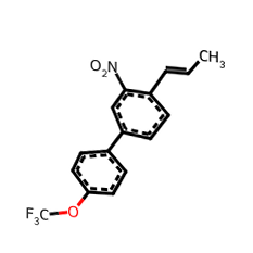 CC=Cc1ccc(-c2ccc(OC(F)(F)F)cc2)cc1[N+](=O)[O-]